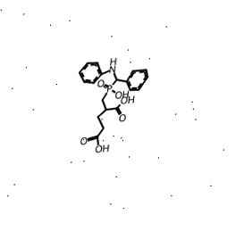 O=C(O)CCC(CP(=O)(O)C(Nc1ccccc1)c1ccccc1)C(=O)O